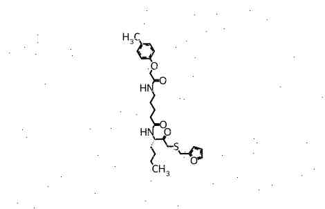 CCCC[C@H](NC(=O)CCCCNC(=O)COc1ccc(C)cc1)C(=O)CSCc1ccco1